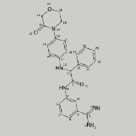 N=C(N)c1cccc(NC(=O)C(Nc2ccc(N3CCOCC3=O)cc2)c2ccccc2)c1